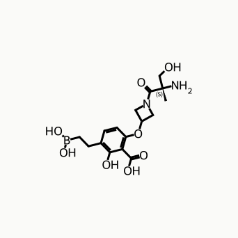 C[C@](N)(CO)C(=O)N1CC(Oc2ccc(CCB(O)O)c(O)c2C(=O)O)C1